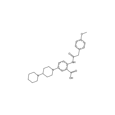 COc1ccc(CC(=O)Nc2ccc(N3CCC(N4CCCCC4)CC3)cc2C(=O)O)cc1